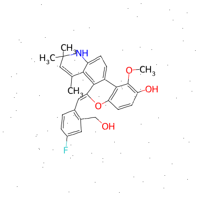 COc1c(O)ccc2c1-c1ccc3c(c1/C(=C/c1ccc(F)cc1CO)O2)C(C)=CC(C)(C)N3